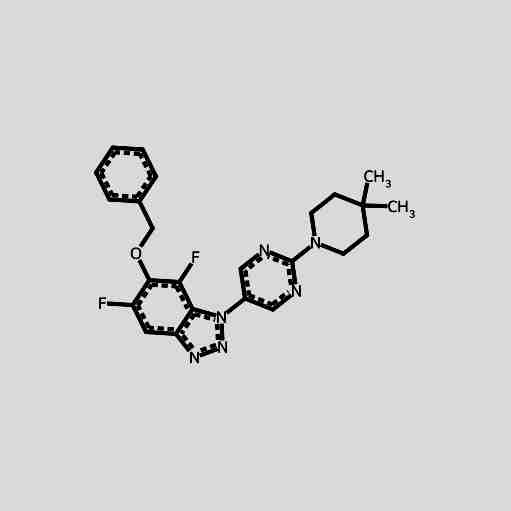 CC1(C)CCN(c2ncc(-n3nnc4cc(F)c(OCc5ccccc5)c(F)c43)cn2)CC1